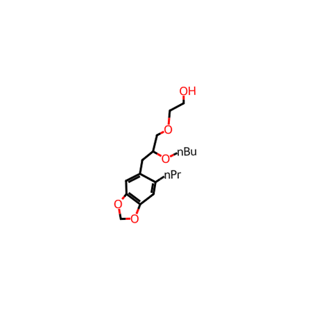 CCCCOC(COCCO)Cc1cc2c(cc1CCC)OCO2